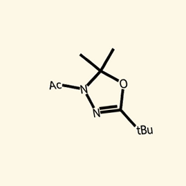 CC(=O)N1N=C(C(C)(C)C)OC1(C)C